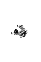 CNC(=O)Cc1ccccc1NC1CCn2nnc(C)c2-c2ccc(C3=CCNCC3)cc21.O=C(O)C(F)(F)F